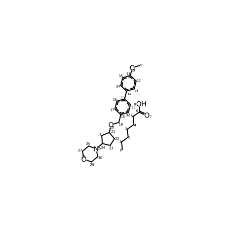 CCCCCCC(=O)O.COc1ccc(-c2ccc(COC3CCC(N4CCOCC4)C3)cc2)cc1